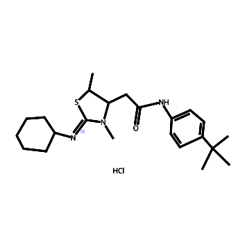 CC1S/C(=N\C2CCCCC2)N(C)C1CC(=O)Nc1ccc(C(C)(C)C)cc1.Cl